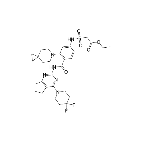 CCOC(=O)CS(=O)(=O)Nc1ccc(C(=O)Nc2nc3c(c(N4CCC(F)(F)CC4)n2)CCC3)c(N2CCC3(CC2)CC3)c1